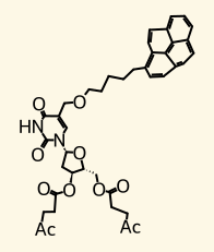 CC(=O)CCC(=O)OC[C@H]1O[C@@H](n2cc(COCCCCCc3ccc4ccc5cccc6ccc3c4c56)c(=O)[nH]c2=O)C[C@@H]1OC(=O)CCC(C)=O